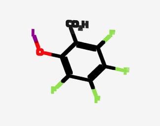 O=C(O)c1c(F)c(F)c(F)c(F)c1OI